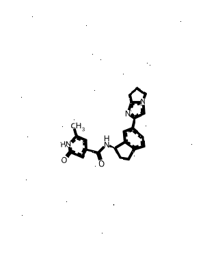 Cc1cc(C(=O)N[C@@H]2CCc3ccc(-c4cn5c(n4)CCC5)cc32)cc(=O)[nH]1